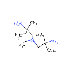 CN(CC(C)(C)N)CC(C)(C)N